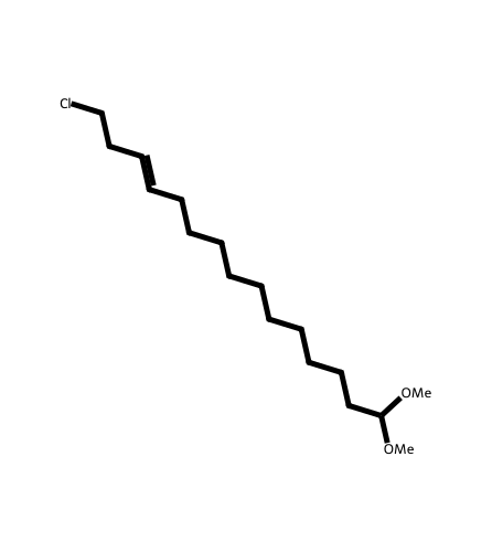 COC(CCCCCCCCCC/C=C/CCCl)OC